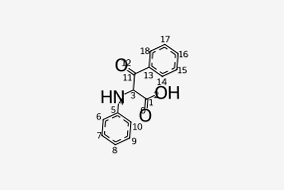 O=C(O)C(Nc1ccccc1)C(=O)c1ccccc1